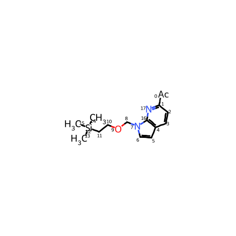 CC(=O)c1ccc2ccn(COCC[Si](C)(C)C)c2n1